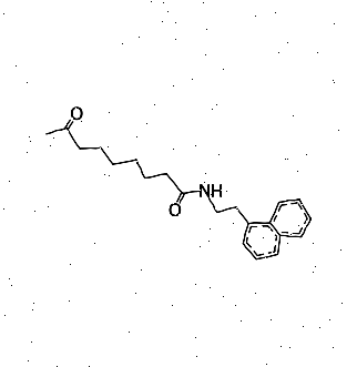 CC(=O)CCCCCCC(=O)NCCc1cccc2ccccc12